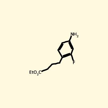 CCOC(=O)CCCc1ccc(N)cc1F